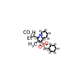 CCC(C(=O)O)c1c(C)c(S(=O)(=O)Cc2ccccc2)c2ccccn12